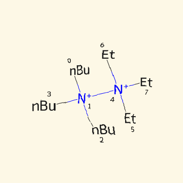 CCCC[N+](CCCC)(CCCC)[N+](CC)(CC)CC